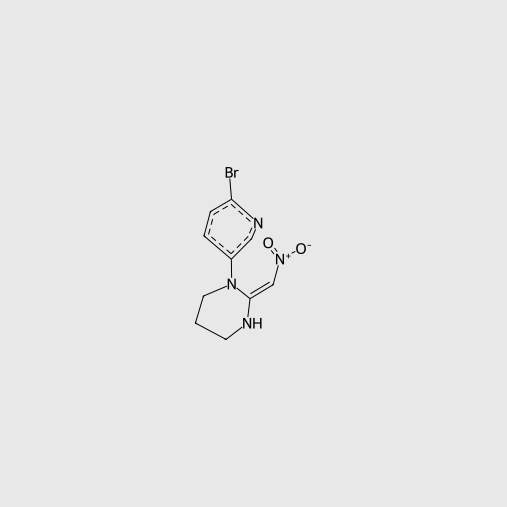 O=[N+]([O-])/C=C1/NCCCN1c1ccc(Br)nc1